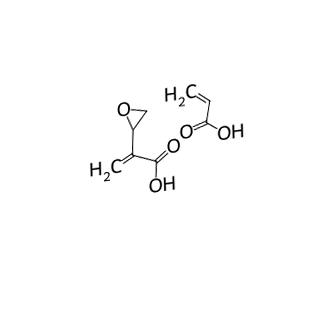 C=C(C(=O)O)C1CO1.C=CC(=O)O